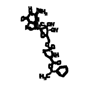 C[C@H](OC(=O)C1CS[P@@](=O)(OCC2O[C@@H](n3cnc4c(=O)[nH]c(N)nc43)[C@](C)(O)[C@@H]2O)N1)c1ccccc1